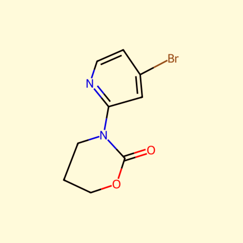 O=C1OCCCN1c1cc(Br)ccn1